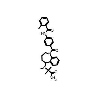 Cc1ccccc1C(=O)Nc1ccc(C(=O)N2CCCC(N(C)C(C)(C)C(N)=O)c3ccccc32)cc1